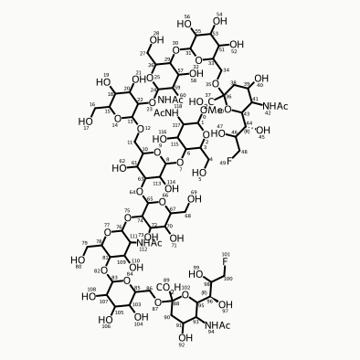 COC1OC(CO)C(OC2OC(COC3OC(CO)C(O)C(O)C3OC3OC(CO)C(OC4OC(COC5(C(=O)O)CC(O)C(NC(C)=O)C([C@H](O)C(O)CF)O5)C(O)C(O)C4O)C(O)C3NC(C)=O)C(O)C(OC3OC(CO)C(O)C(O)C3OC3OC(CO)C(OC4OC(COC5(C(=O)O)CC(O)C(NC(C)=O)C([C@H](O)C(O)CF)O5)C(O)C(O)C4O)C(O)C3NC(C)=O)C2O)C(O)C1NC(C)=O